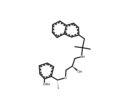 COc1ccccc1[C@@H](C)OC[C@H](O)CNC(C)(C)Cc1ccc2ccccc2c1